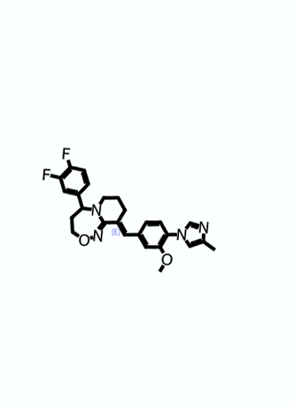 COc1cc(/C=C2\CCCN3C2=NOCCC3c2ccc(F)c(F)c2)ccc1-n1cnc(C)c1